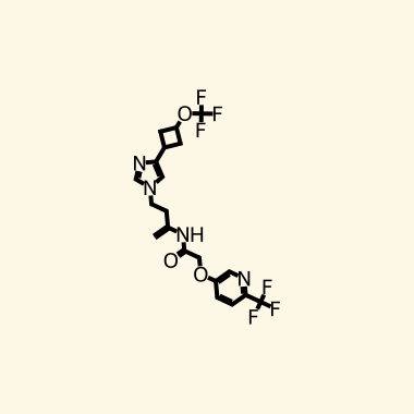 C=C(CCn1cnc(C2CC(OC(F)(F)F)C2)c1)NC(=O)COc1ccc(C(F)(F)F)nc1